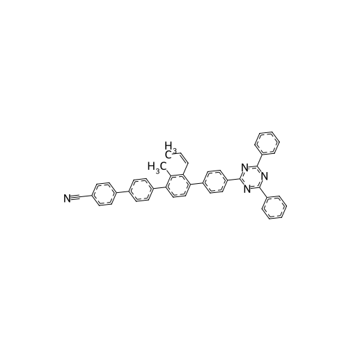 C/C=C\c1c(-c2ccc(-c3nc(-c4ccccc4)nc(-c4ccccc4)n3)cc2)ccc(-c2ccc(-c3ccc(C#N)cc3)cc2)c1C